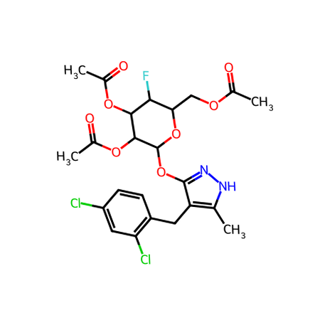 CC(=O)OCC1OC(Oc2n[nH]c(C)c2Cc2ccc(Cl)cc2Cl)C(OC(C)=O)C(OC(C)=O)C1F